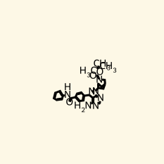 CC(C)(C)OC(=O)N1CC2CC1C(n1nc(-c3ccc(C(=O)Nc4ccccc4)cc3)c3c(N)ncnc31)C2